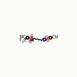 CC1=C(CCCCCCN2CCN(S(=O)(=O)c3ccc(C#N)cc3)CC2)C(=O)N(c2ccc(C#N)c(C(F)(F)F)c2)C1=O